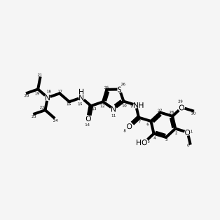 COc1cc(O)c(C(=O)Nc2nc(C(=O)NCCN(C(C)C)C(C)C)cs2)cc1OC